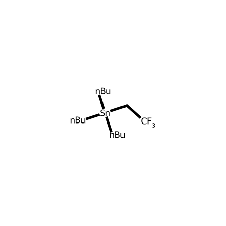 CCC[CH2][Sn]([CH2]CCC)([CH2]CCC)[CH2]C(F)(F)F